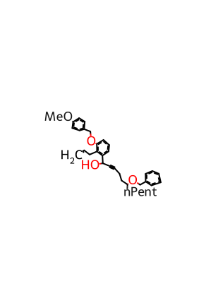 C=CCc1c(OCc2ccc(OC)cc2)cccc1C(O)C#CCCC(CCCCC)OCc1ccccc1